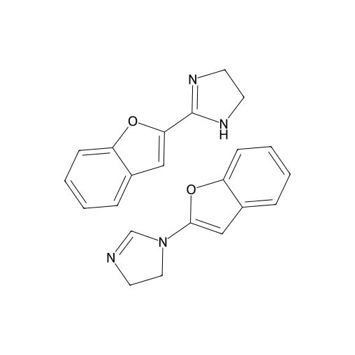 C1=NCCN1c1cc2ccccc2o1.c1ccc2oc(C3=NCCN3)cc2c1